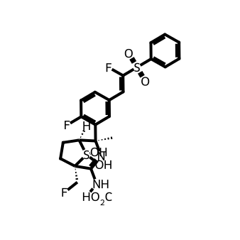 C[C@]1(c2cc(/C=C(\F)S(=O)(=O)c3ccccc3)ccc2F)N=C(NC(=O)O)[C@@]2(CF)CC[C@@H]1S2(O)O